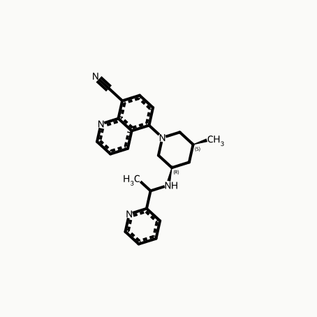 CC(N[C@@H]1C[C@H](C)CN(c2ccc(C#N)c3ncccc23)C1)c1ccccn1